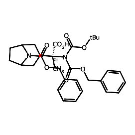 CC(C)(C)OC(=O)N(C(=O)OCc1ccccc1)[C@](C)(C(=O)O)C1CC2CCC(C1)N2C(=O)OCc1ccccc1